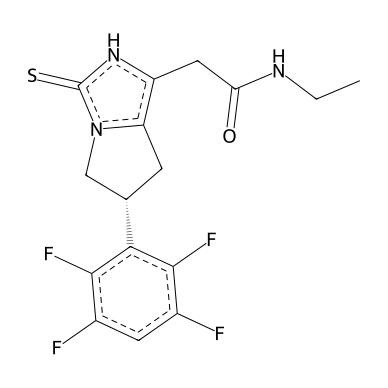 CCNC(=O)Cc1[nH]c(=S)n2c1C[C@H](c1c(F)c(F)cc(F)c1F)C2